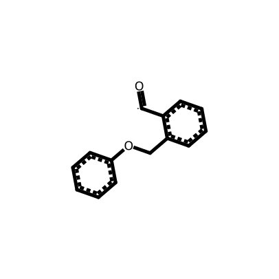 O=[C]c1ccccc1COc1ccccc1